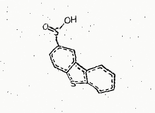 O=S(O)c1ccc2sc3ccccc3c2c1